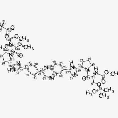 COC(=O)N[C@@H](COC(C)(C)C)C(=O)N1CCC[C@H]1c1ncc(-c2ccc3nc(-c4ccc(-c5c[nH]c([C@@H]6CCCN6C(=O)[C@H](C(C)C)N(C)C(=O)OC(=O)C(F)(F)F)n5)cc4)cnc3c2)[nH]1